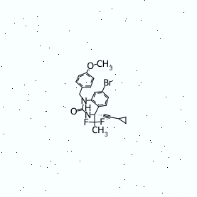 COc1ccc(CN2C(=O)N[C@](C#CC3CC3)(C(C)(F)F)c3ccc(Br)cc32)cc1